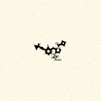 CNS(=O)(=O)NC1CCN(C(=O)C2CCC2)C1Cc1cccc(C#CC2(C)CC2)c1F